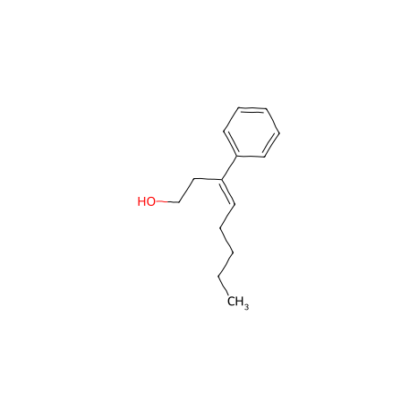 CCCCC=C(CCO)c1ccccc1